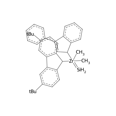 CC(C)(C)c1ccc2c(c1)-c1cc(C(C)(C)C)ccc1[CH]2[Zr]([CH3])([CH3])(=[SiH2])[CH]1C=C(c2ccccc2)c2ccccc21